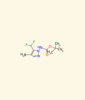 Bc1cnn(NC(=O)OC(C)(C)C)c1C(F)F